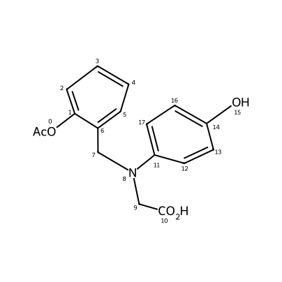 CC(=O)Oc1ccccc1CN(CC(=O)O)c1ccc(O)cc1